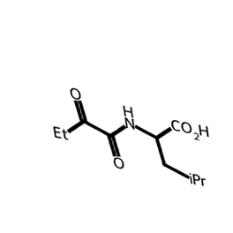 CCC(=O)C(=O)NC(CC(C)C)C(=O)O